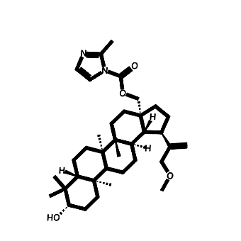 C=C(COC)[C@@H]1CC[C@]2(COC(=O)n3ccnc3C)CC[C@]3(C)[C@H](CCC4[C@@]5(C)CC[C@H](O)C(C)(C)[C@@H]5CC[C@]43C)[C@@H]12